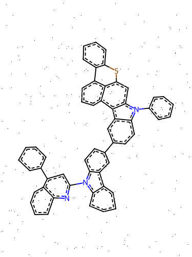 c1ccc(-c2cc(-n3c4ccccc4c4cc(-c5ccc6c(c5)c5c7cccc8c7c(cc5n6-c5ccccc5)Sc5ccccc5-8)ccc43)nc3ccccc23)cc1